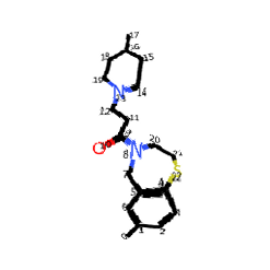 Cc1ccc2c(c1)CN(C(=O)CCN1CCC(C)CC1)CCS2